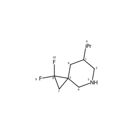 CC(C)C1CNCC2(C1)CC2(F)F